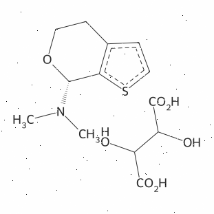 CN(C)[C@@H]1OCCc2ccsc21.O=C(O)C(O)C(O)C(=O)O